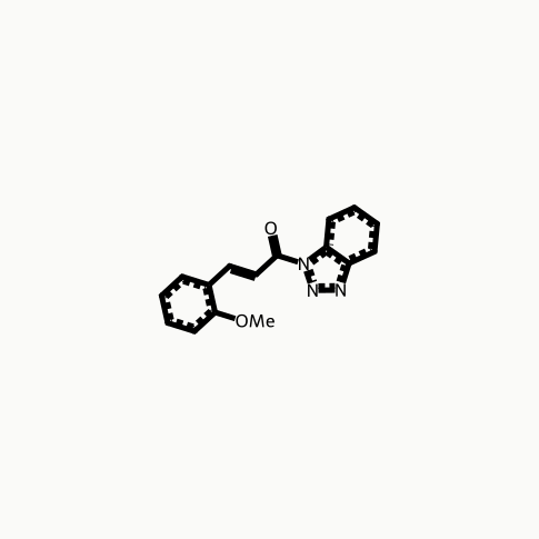 COc1ccccc1C=CC(=O)n1nnc2ccccc21